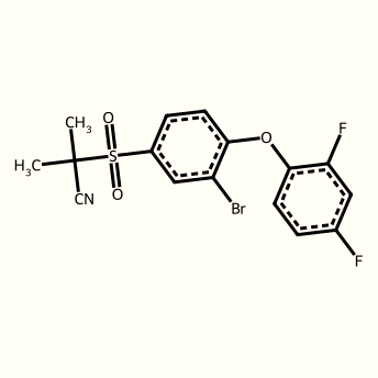 CC(C)(C#N)S(=O)(=O)c1ccc(Oc2ccc(F)cc2F)c(Br)c1